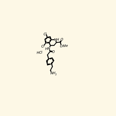 COC(=O)C1CC(NC(=O)Cc2ccc(CCN)cc2)c2c(Cl)cc(Cl)cc2N1.Cl